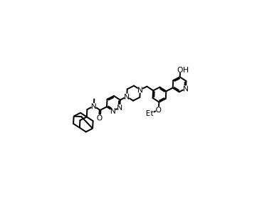 CCOc1cc(CN2CCN(c3ccc(C(=O)N(C)CC45CC6CC(CC(C6)C4)C5)nn3)CC2)cc(-c2cncc(O)c2)c1